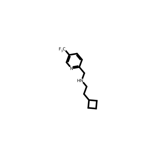 FC(F)(F)c1ccc(CNCCC2CCC2)nc1